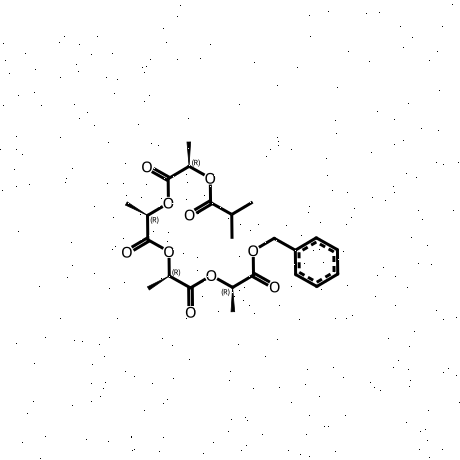 CC(C)C(=O)O[C@H](C)C(=O)O[C@H](C)C(=O)O[C@H](C)C(=O)O[C@H](C)C(=O)OCc1ccccc1